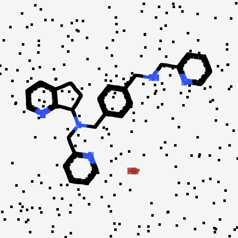 Br.c1ccc(CNCc2ccc(CN(Cc3ccccn3)C3CCc4cccnc43)cc2)nc1